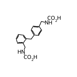 O=C(O)NCc1ccc(Cc2ccccc2CNC(=O)O)cc1